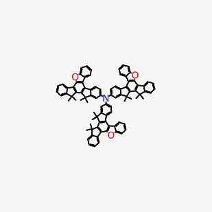 CC1(C)c2ccccc2-c2c1c1c(c3c2oc2ccccc23)-c2ccc(N(c3ccc4c(c3)C(C)(C)c3c5c(c6oc7ccccc7c6c3-4)-c3ccccc3C5(C)C)c3ccc4c(c3)C(C)(C)c3c5c(c6oc7ccccc7c6c3-4)-c3ccccc3C5(C)C)cc2C1(C)C